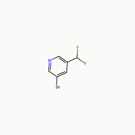 CC(C)c1cncc(C(F)F)c1